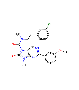 CCOc1cccc(-c2ncc3c(n2)n(C)c(=O)n3C(=O)N(C)CCc2cccc(Cl)c2)c1